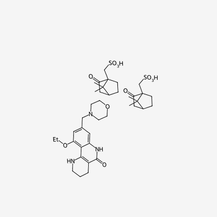 CC1(C)C2CCC1(CS(=O)(=O)O)C(=O)C2.CC1(C)C2CCC1(CS(=O)(=O)O)C(=O)C2.CCOc1cc(CN2CCOCC2)cc2[nH]c(=O)c3c(c12)NCCC3